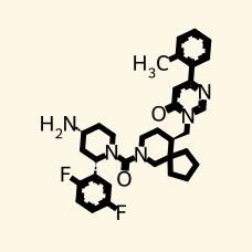 Cc1ccccc1-c1cc(=O)n(C[C@@H]2CCN(C(=O)N3CC[C@@H](N)C[C@H]3c3cc(F)ccc3F)CC23CCCC3)cn1